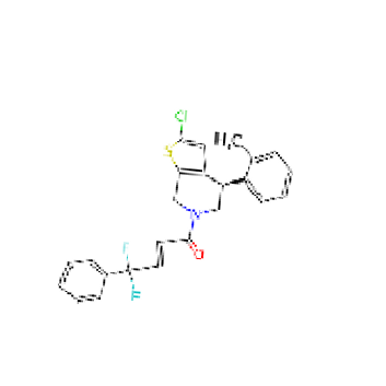 Cc1ccccc1[C@H]1CN(C(=O)/C=C/C(F)(F)c2ccccc2)Cc2sc(Cl)cc21